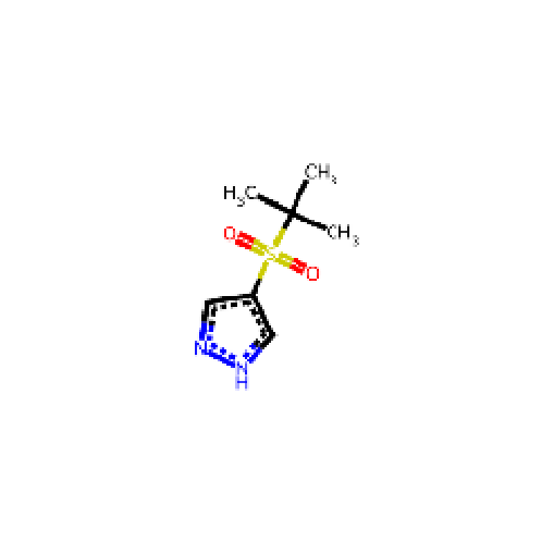 CC(C)(C)S(=O)(=O)c1cn[nH]c1